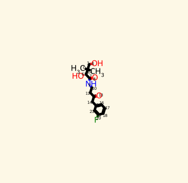 CC(C)(CO)[C@@H](O)C(=O)NCCC(=O)Cc1cccc(F)c1